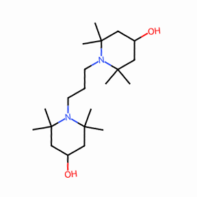 CC1(C)CC(O)CC(C)(C)N1CCCN1C(C)(C)CC(O)CC1(C)C